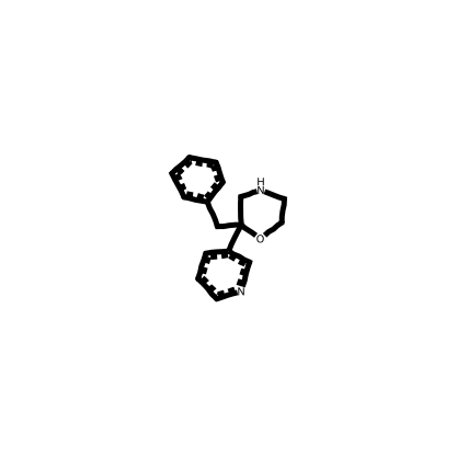 c1ccc(CC2(c3cccnc3)CNCCO2)cc1